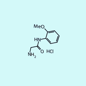 COc1ccccc1NC(=O)CN.Cl